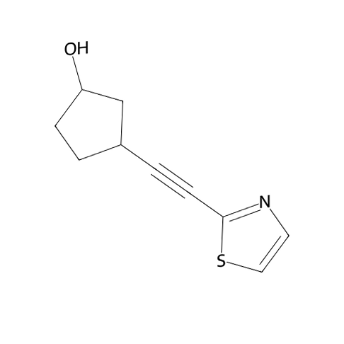 OC1CCC(C#Cc2nccs2)C1